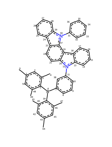 Cc1cc(C)c(B(c2cccc(-n3c4ccccc4c4c3ccc3c5ccccc5n(-c5ccccc5)c34)c2)c2c(C)cc(C)cc2C)c(C)c1